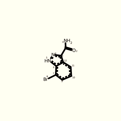 NC(=O)c1n[nH]c2c(Br)cccc12